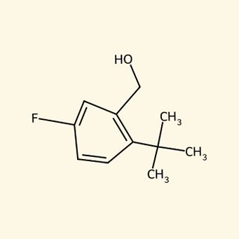 CC(C)(C)c1ccc(F)cc1CO